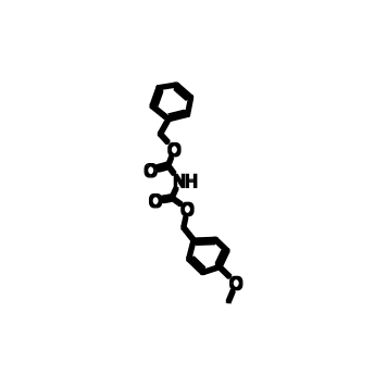 COc1ccc(COC(=O)NC(=O)OCc2ccccc2)cc1